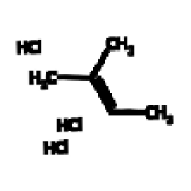 CC=C(C)C.Cl.Cl.Cl